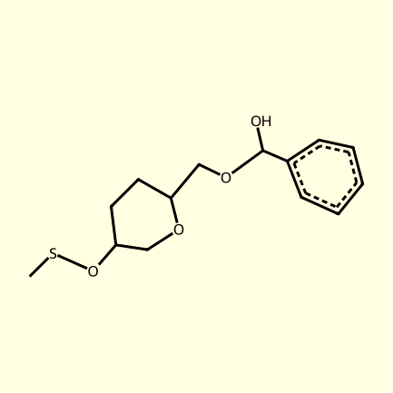 CSOC1CCC(COC(O)c2ccccc2)OC1